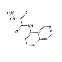 NNC(=O)C(=O)Nc1cccc2ccccc12